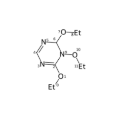 CCOC1=NC=NC(OCC)N1OCC